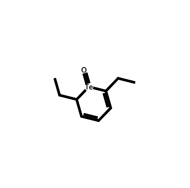 CCC1=CC=CC(CC)[Te]1=O